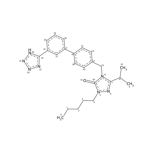 CCCCCn1nc(C(C)C)n(Cc2ccc(-c3cccc(-c4nnn[nH]4)c3)cc2)c1=O